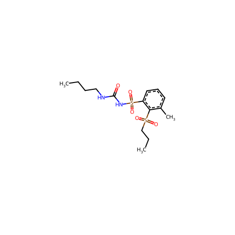 CCCCNC(=O)NS(=O)(=O)c1cccc(C)c1S(=O)(=O)CCC